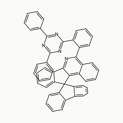 c1ccc(-c2nc(-c3ccccc3)nc(-c3ccccc3-c3nc4c(c5ccccc35)C3(c5ccccc5-c5ccccc53)c3ccccc3-4)n2)cc1